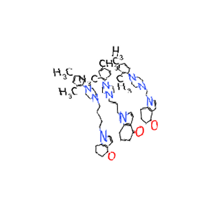 Cc1ccc(N2CCN(CCCCn3ccc4c3CCCC4=O)CC2)c(C)c1.Cc1ccc(N2CCN(CCCn3ccc4c3CCCC4=O)CC2)c(C)c1.Cc1ccc(N2CCN(CCn3ccc4c3CCCC4=O)CC2)c(C)c1